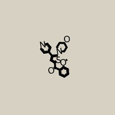 COc1ccccc1C(=O)c1cc(-c2ccncc2)c(N2CCC(=O)CC2)s1